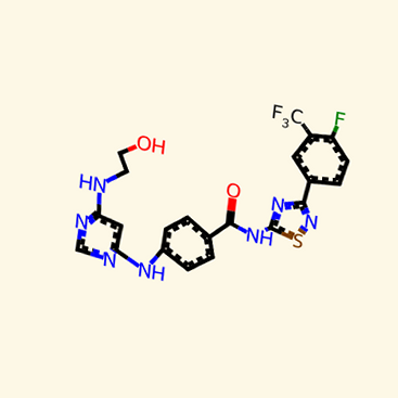 O=C(Nc1nc(-c2ccc(F)c(C(F)(F)F)c2)ns1)c1ccc(Nc2cc(NCCO)ncn2)cc1